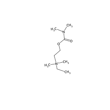 CC[N+](C)(C)CCOC(=O)N(C)C